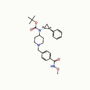 CONC(=O)c1ccc(CN2CCC(N(C(=O)OC(C)(C)C)[C@@H]3C[C@H]3c3ccccc3)CC2)cc1